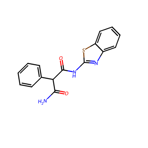 NC(=O)C(C(=O)Nc1nc2ccccc2s1)c1ccccc1